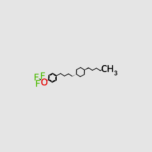 CCCCC[C@H]1CC[C@H](CCCCc2ccc(OC(F)(F)F)cc2)CC1